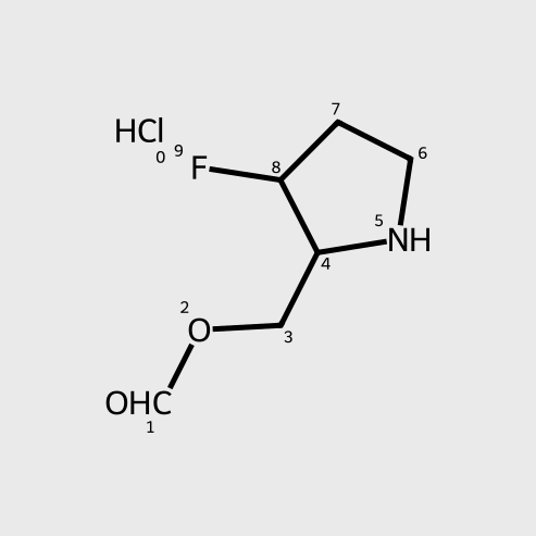 Cl.O=COCC1NCCC1F